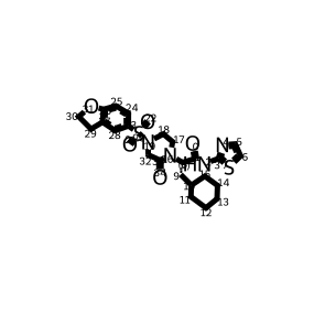 O=C(Nc1nccs1)[C@H](CC1CCCCC1)N1CCN(S(=O)(=O)c2ccc3c(c2)CCO3)CC1=O